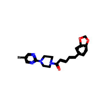 CCc1cnc(N2CCN(C(=O)C=CC=Cc3ccc4c(c3)OCO4)CC2)nc1